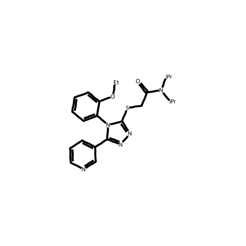 CCOc1ccccc1-n1c(SCC(=O)N(C(C)C)C(C)C)nnc1-c1cccnc1